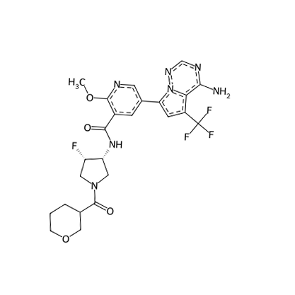 COc1ncc(-c2cc(C(F)(F)F)c3c(N)ncnn23)cc1C(=O)N[C@@H]1CN(C(=O)C2CCCOC2)C[C@@H]1F